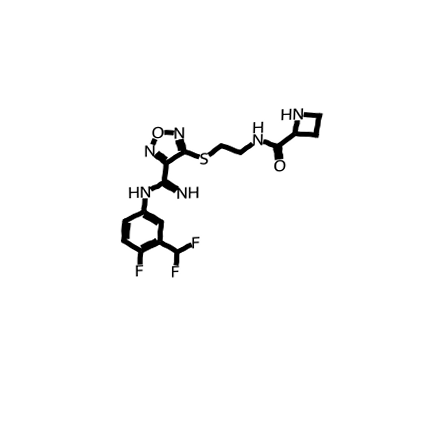 N=C(Nc1ccc(F)c(C(F)F)c1)c1nonc1SCCNC(=O)C1CCN1